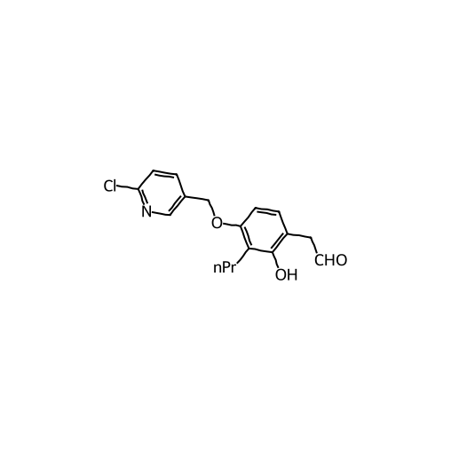 CCCc1c(OCc2ccc(Cl)nc2)ccc(CC=O)c1O